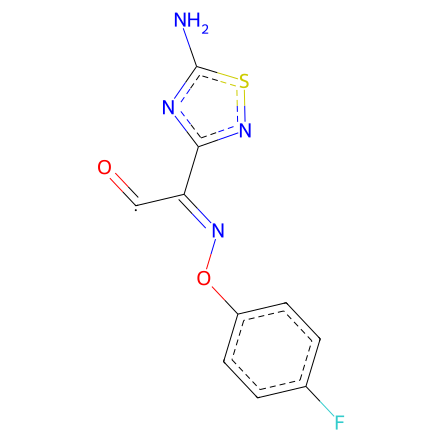 Nc1nc(/C([C]=O)=N/Oc2ccc(F)cc2)ns1